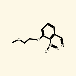 COCCOc1cccc(C=O)c1[N+](=O)[O-]